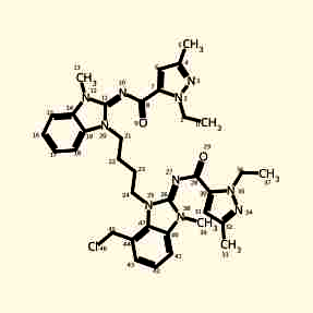 CCn1nc(C)cc1C(=O)N=c1n(C)c2ccccc2n1CCCCn1/c(=N/C(=O)c2cc(C)nn2CC)n(C)c2cccc(CCl)c21